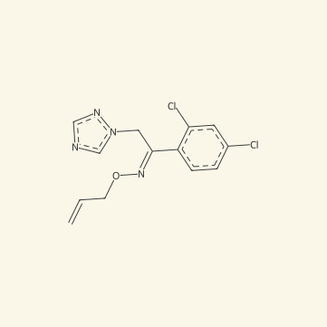 C=CCON=C(Cn1cncn1)c1ccc(Cl)cc1Cl